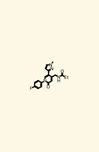 CCC(=O)NCc1cc(=O)n(-c2ccc(F)cc2)cc1-c1ccn(C)n1